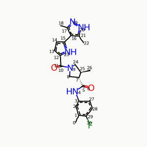 Cc1cc(NC(=O)[C@@H]2CN(C(=O)c3ccc(-c4c(C)n[nH]c4C)[nH]3)C[C@H]2C)ccc1F